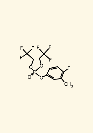 Cc1cc(OP(=O)(OCC(F)(F)F)OCC(F)(F)F)ccc1F